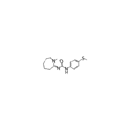 CSc1ccc(NC(=O)/N=C2/CCCCCN2C)cc1